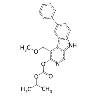 COCc1c(OC(=O)OC(C)C)ncc2[nH]c3ccc(-c4ccccc4)cc3c12